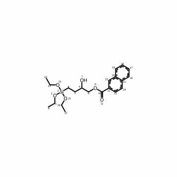 CCO[Si](CCC(O)COC(=O)c1ccc2ccccc2c1)(OCC)OCC